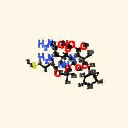 CSCC[C@H](N)C(=O)N[C@@H](CC(N)=O)C(=O)N(C(=O)OC(C)(C)C)[C@H](C(=O)O)[C@@H](C)OCc1ccccc1